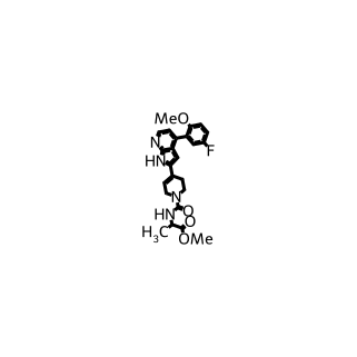 COC(=O)C(C)NC(=O)N1CC=C(c2cc3c(-c4cc(F)ccc4OC)ccnc3[nH]2)CC1